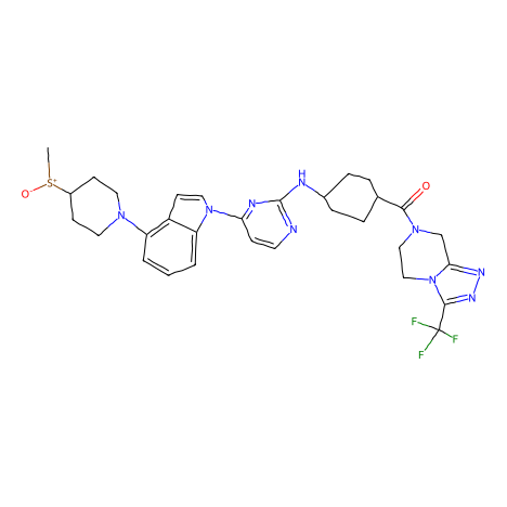 C[S+]([O-])C1CCN(c2cccc3c2ccn3-c2ccnc(NC3CCC(C(=O)N4CCn5c(nnc5C(F)(F)F)C4)CC3)n2)CC1